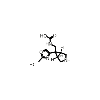 Cc1nc(C2(CNC(=O)O)[C@@H]3CNC[C@@H]32)co1.Cl